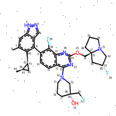 Cc1cc2[nH]ncc2c(-c2ccc3c(N4CCC[C@](O)(CF)C4)nc(OC[C@@]45CCCN4C[C@H](F)C5)nc3c2F)c1[C@H]1C[C@H]1C